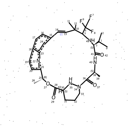 CC(C)[C@@H]1NC(C(F)(F)F)C(C)(C)/C=C/c2ccc3ccc(nc3c2)[C@@H](C)OC(=O)[C@@H]2CCCN(N2)C(=O)[C@H](C)NC1=O